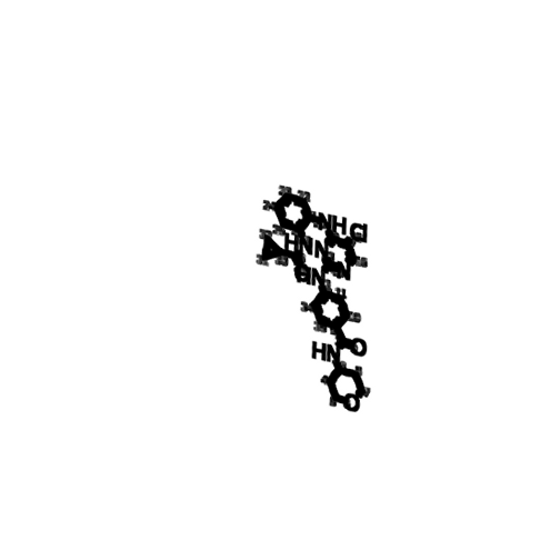 O=C(NC1CCOCC1)c1ccc(Nc2ncc(Cl)c(Nc3ccccc3NC(=O)C3CC3)n2)cc1